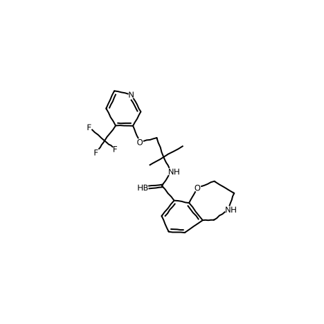 B=C(NC(C)(C)COc1cnccc1C(F)(F)F)c1cccc2c1OCCNC2